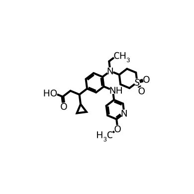 CCN(c1ccc(C(CC(=O)O)C2CC2)cc1Nc1ccc(OC)nc1)C1CCS(=O)(=O)CC1